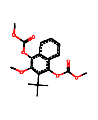 COC(=O)Oc1c(OC)c(C(C)(C)C)c(OC(=O)OC)c2ccccc12